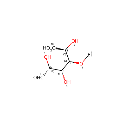 CCO[C@@H]([C@H](O)[C@@H](O)C=O)[C@H](O)C(=O)O